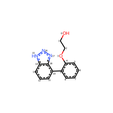 OCCOc1ccccc1-c1cccc2[nH]nnc12